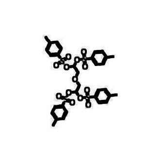 Cc1ccc(S(=O)(=O)OC(COCC(OS(=O)(=O)c2ccc(C)cc2)OS(=O)(=O)c2ccc(C)cc2)OS(=O)(=O)c2ccc(C)cc2)cc1